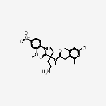 CCC(CCN)(C(=O)Nc1ccc([N+](=O)[O-])cc1OC)N(C)C(=O)Cc1c(C)cc(Cl)cc1C